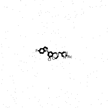 CC(=O)c1ncc(CN2CCOc3c(Cl)cc(-n4ccc5cc(F)ccc54)cc3C2)cn1